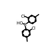 Cc1ccc(B(O)c2ccc(C)cc2Cl)c(Cl)c1